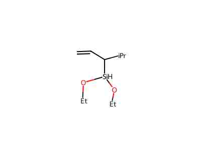 C=CC(C(C)C)[SiH](OCC)OCC